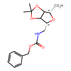 CC1(C)OC2C(O1)[C@H](C(=O)O)O[C@@H]2CNC(=O)OCc1ccccc1